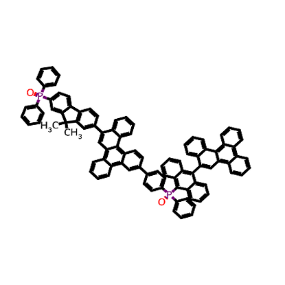 CC1(C)c2cc(-c3cc4c5ccccc5c5cc(-c6ccc(P(=O)(c7ccccc7)c7c8ccccc8c(-c8cc9c%10ccccc%10c%10ccccc%10c9c9ccccc89)c8ccccc78)cc6)ccc5c4c4ccccc34)ccc2-c2ccc(P(=O)(c3ccccc3)c3ccccc3)cc21